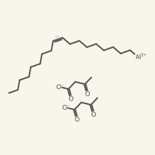 CC(=O)CC(=O)[O-].CC(=O)CC(=O)[O-].CCCCCCCC/C=C\CCCCCCC[CH2][Al+2]